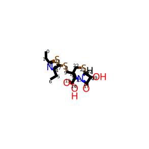 CCc1nc(CC)c(SCC2=C(C(=O)O)N3C(=O)[C@@H](O)[C@H]3SC2)s1